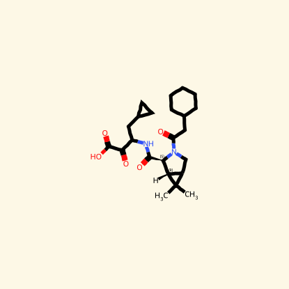 CC1(C)C2CN(C(=O)CC3CCCCC3)[C@H](C(=O)NC(CC3CC3)C(=O)C(=O)O)[C@H]21